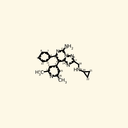 Cc1cc(-c2c(-c3ccccc3)nc(N)n3nc(CNC4CC4)nc23)cc(C)n1